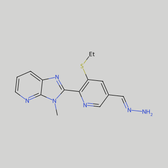 CCSc1cc(/C=N/N)cnc1-c1nc2cccnc2n1C